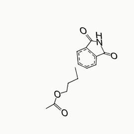 CCCCOC(C)=O.O=C1NC(=O)c2ccccc21